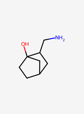 NCC1CC2CCC1(O)C2